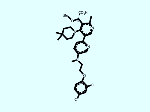 Cc1ncc(-c2ccc(N(C)CCOc3ccc(Cl)cc3Cl)cn2)c(N2CCC(C)(C)CC2)c1[C@H](OC(C)(C)C)C(=O)O